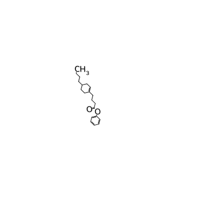 CCCCC1CC=C(CCCC(=O)Oc2ccccc2)CC1